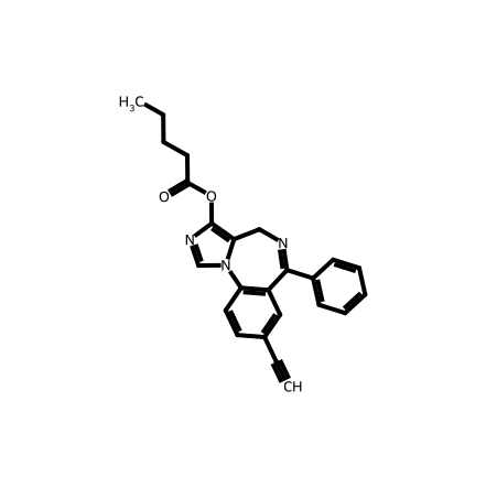 C#Cc1ccc2c(c1)C(c1ccccc1)=NCc1c(OC(=O)CCCC)ncn1-2